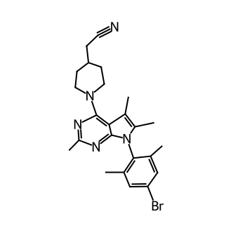 Cc1nc(N2CCC(CC#N)CC2)c2c(C)c(C)n(-c3c(C)cc(Br)cc3C)c2n1